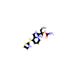 CC(C)(C)CC(C)(OC(N)=O)c1ncc2c(Sc3nccs3)cccn12